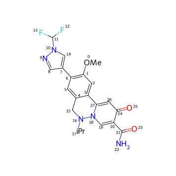 COc1cc2c(cc1-c1cnn(C(F)F)c1)CN(C(C)C)n1cc(C(N)=O)c(=O)cc1-2